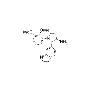 COc1cccc(N2CCC(N)C2c2ccn3ccnc3c2)c1OC